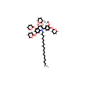 CCCCCCCCCCCCCCCCCCn1c(-c2ccc(OC3CCCCO3)c(OC)c2)c(OC2CCCCO2)c(=O)c2c(OC3CCCCO3)cc(OC3CCCCO3)cc21